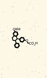 COc1ccc2c(c1)CCC(c1ccccc1)C2c1ccc(OCC(=O)O)cc1